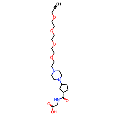 C#CCOCCOCCOCCOCCN1CCN(C2CC[C@H](C(=O)NCC(=O)O)C2)CC1